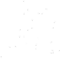 CC/C=C/c1ccc(C)cn1